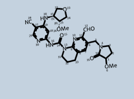 COC1CCN(Cc2cc3c(nc2C=O)N(C(=O)Nc2cc(N[C@H]4COC[C@@H]4OC)c(C#N)cn2)CCC3)C1=O